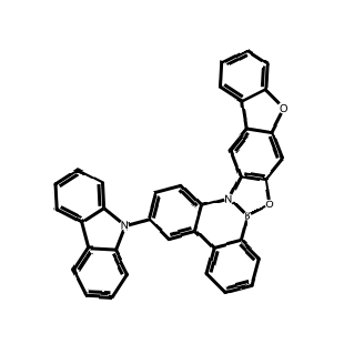 c1ccc2c(c1)B1Oc3cc4oc5ccccc5c4cc3N1c1ccc(-n3c4ccccc4c4ccccc43)cc1-2